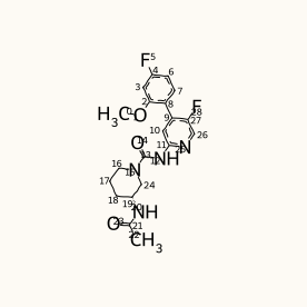 COc1cc(F)ccc1-c1cc(NC(=O)N2CCC[C@@H](NC(C)=O)C2)ncc1F